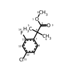 COC(=O)C(C)(C)c1ccc(Cl)cc1F